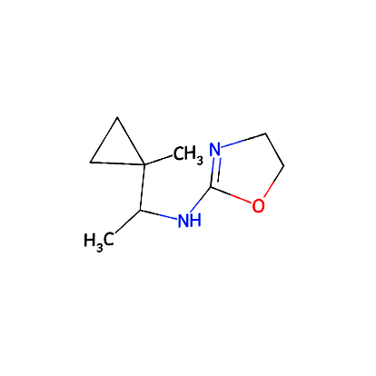 CC(NC1=NCCO1)C1(C)CC1